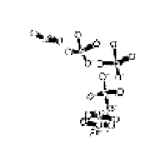 O=P([O-])([O-])[O-].O=P([O-])([O-])[O-].O=P([O-])([O-])[O-].[Fe+3].[O]=[U+2]=[O].[O]=[U+2]=[O].[O]=[U+2]=[O]